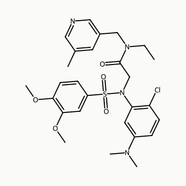 CCN(Cc1cncc(C)c1)C(=O)CN(c1cc(N(C)C)ccc1Cl)S(=O)(=O)c1ccc(OC)c(OC)c1